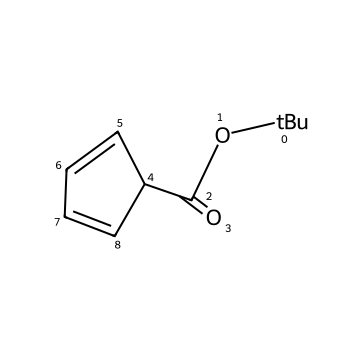 CC(C)(C)OC(=O)C1C=CC=C1